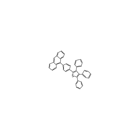 c1ccc(-c2sc(-c3ccc(-c4c5ccccc5cc5ccccc45)cc3)c(-c3ccccc3)c2-c2ccccc2)cc1